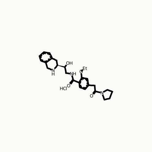 CCOc1cc(CC(=O)N2CCCC2)ccc1C(=O)NCC(O)[C@@H]1Cc2ccccc2CN1.Cl